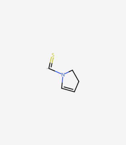 S=[C]N1C=CCC1